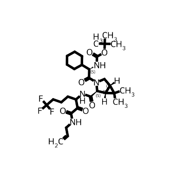 C=CCNC(=O)C(=O)C(CCCC(F)(F)F)NC(=O)[C@@H]1[C@@H]2[C@H](CN1C(=O)[C@@H](NC(=O)OC(C)(C)C)C1CCCCC1)C2(C)C